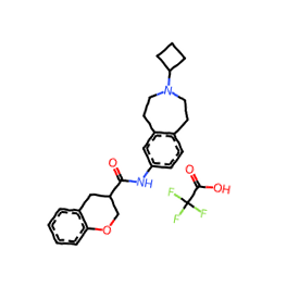 O=C(Nc1ccc2c(c1)CCN(C1CCC1)CC2)C1COc2ccccc2C1.O=C(O)C(F)(F)F